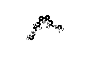 COc1nc(-c2cccc(-c3cccc(-c4cc(OC)c5c(CNCC6CCC(=O)N6)cnn5c4)c3Cl)c2Cl)ccc1CNCC1CCC(=O)N1